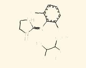 Clc1cccc(Cl)c1N=C1NCCN1.O=C(O)C(O)C(O)C(=O)O